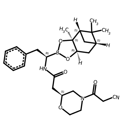 CC1(C)[C@@H]2C[C@H]3OB([C@H](Cc4ccccc4)NC(=O)C[C@H]4CN(C(=O)CC#N)CCO4)O[C@@]3(C)[C@H]1C2